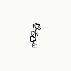 CCc1ccc2oc(-c3nccs3)nc2c1